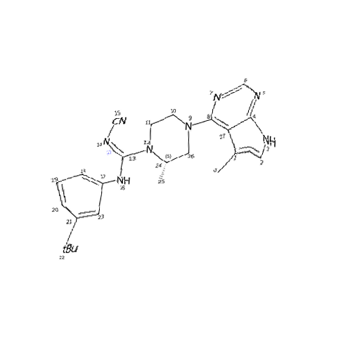 Cc1c[nH]c2ncnc(N3CCN(/C(=N\C#N)Nc4cccc(C(C)(C)C)c4)[C@@H](C)C3)c12